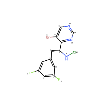 Fc1cc(F)cc(C[C@H](NCl)c2ncncc2Br)c1